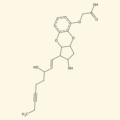 CCC#CCCC(O)C=CC1C(O)CC2Oc3c(OCC(=O)O)cccc3OC21